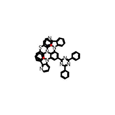 c1ccc(-c2nc(-c3ccccc3)nc(-c3cc(-n4c5ccccc5c5ncccc54)c(N4c5ccccc5Sc5ccccc54)c(-n4c5ccccc5c5ncccc54)c3)n2)cc1